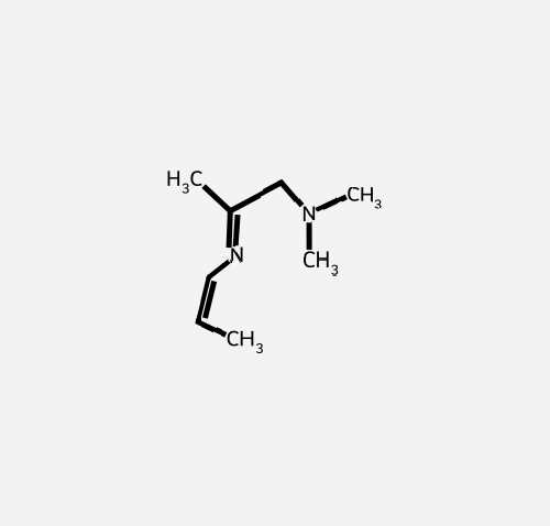 C/C=C\N=C(/C)CN(C)C